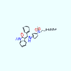 CNCCCN(c1ccc(NC(=C2C(=O)Nc3ccccc32)c2ccccc2)cc1)S(C)(=O)=O